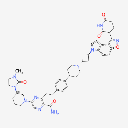 CN1CCN([C@@H]2CCCN(c3cnc(C(N)=O)c(CCc4ccc(C5CCN([C@H]6C[C@H](n7ccc8c9c(C%10CCC(=O)NC%10=O)noc9ccc87)C6)CC5)cc4)n3)C2)C1=O